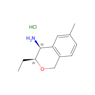 CC[C@@H]1OCc2ccc(C)cc2[C@@H]1N.Cl